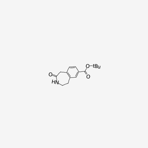 CC(C)(C)OC(=O)c1ccc2c(c1)CCNC(=O)C2